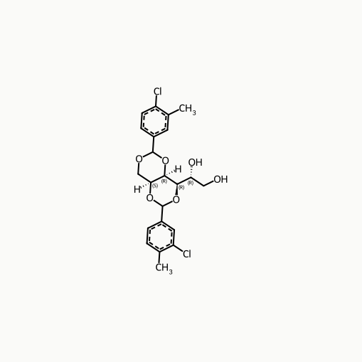 Cc1cc(C2OC[C@@H]3OC(c4ccc(C)c(Cl)c4)O[C@H]([C@H](O)CO)[C@@H]3O2)ccc1Cl